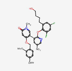 COc1ccc(COc2cc(=O)n(C)cc2-c2cc([N+](=O)[O-])cnc2Oc2c(F)cc(F)cc2CCCCO)c(OC)c1